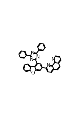 c1ccc(-c2nc(-c3ccccc3)nc(-c3cc(-c4ccc5ccc6cccnc6c5n4)cc4oc5ccccc5c34)n2)cc1